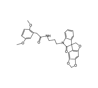 COc1ccc(OC)c(CC(=O)NCCCN2C(=O)C3(COc4cc5c(cc43)OCO5)c3ccccc32)c1